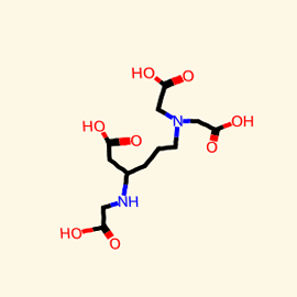 O=C(O)CNC(CCCN(CC(=O)O)CC(=O)O)CC(=O)O